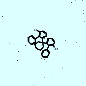 Oc1cccc(C2(c3cccc(O)c3-c3ccccc3)CCCCC2)c1-c1ccccc1